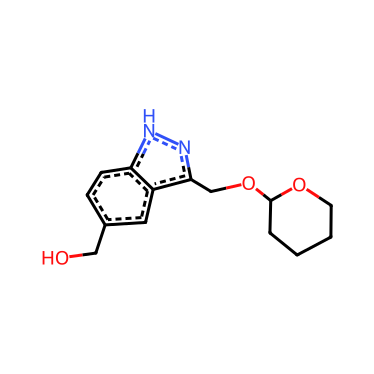 OCc1ccc2[nH]nc(COC3CCCCO3)c2c1